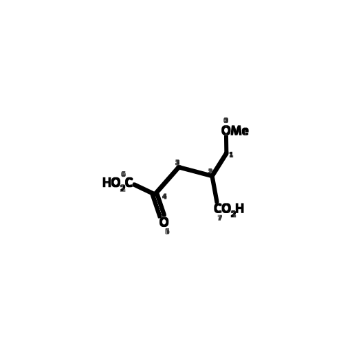 COCC(CC(=O)C(=O)O)C(=O)O